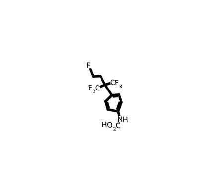 O=C(O)Nc1ccc(C(CCF)(C(F)(F)F)C(F)(F)F)cc1